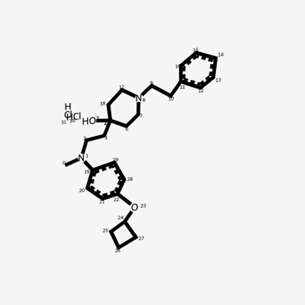 CN(CCC1(O)CCN(CCc2ccccc2)CC1)c1ccc(OC2CCC2)cc1.Cl.Cl